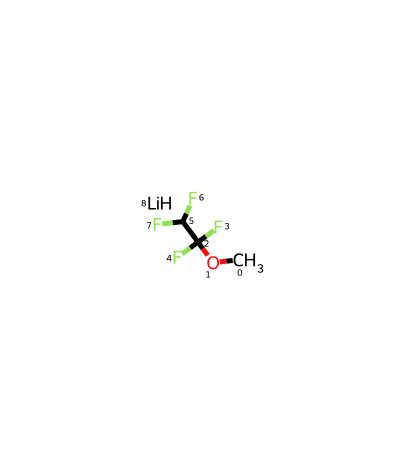 COC(F)(F)C(F)F.[LiH]